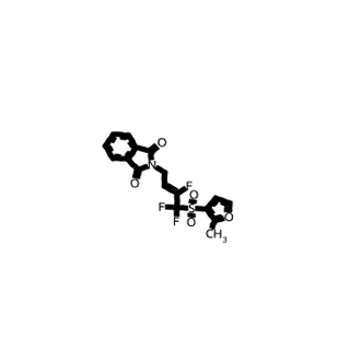 Cc1occc1S(=O)(=O)C(F)(F)/C(F)=C/CN1C(=O)c2ccccc2C1=O